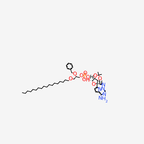 CCCCCCCCCCCCCCCCCCOC[C@H](COP(=O)(O)OC[C@H]1O[C@@](C#N)(c2ccc3c(N)ncnn23)[C@@H]2OC(C)(C)O[C@@H]21)OCc1ccccc1